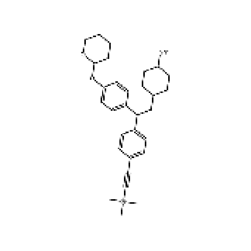 CCCC1CCC(CC(c2ccc(C#C[Si](C)(C)C)cc2)c2ccc(OC3CCCCO3)cc2)CC1